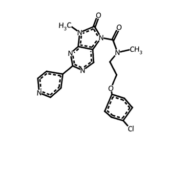 CN(CCOc1ccc(Cl)cc1)C(=O)n1c(=O)n(C)c2nc(-c3ccncc3)ncc21